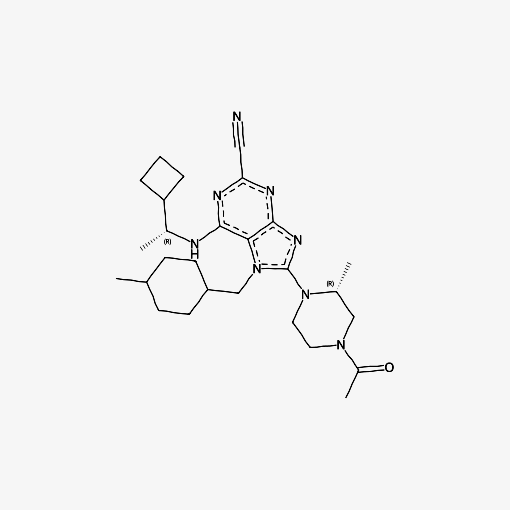 CC(=O)N1CCN(c2nc3nc(C#N)nc(N[C@H](C)C4CCC4)c3n2CC2CCC(C)CC2)[C@H](C)C1